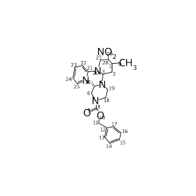 CC1CC(N2CCN(C(=O)OCc3ccccc3)CC2)N(c2ccccn2)CC1[N+](=O)[O-]